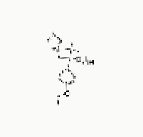 CCOc1ccc(C(O)(Cn2ccnc2)C(C)(C)C)cc1.Cl